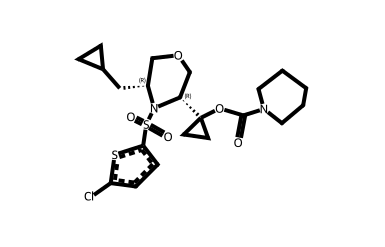 O=C(OC1([C@H]2COC[C@@H](CC3CC3)N2S(=O)(=O)c2ccc(Cl)s2)CC1)N1CCCCC1